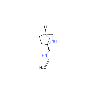 C=CNC[C@]12CC[C@H](CN1)C2